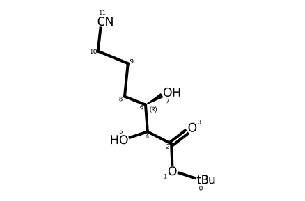 CC(C)(C)OC(=O)C(O)[C@H](O)CCCC#N